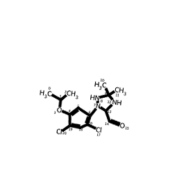 CC(C)Oc1cc(N2NC(C)(C)NC2C=O)c(Cl)cc1Cl